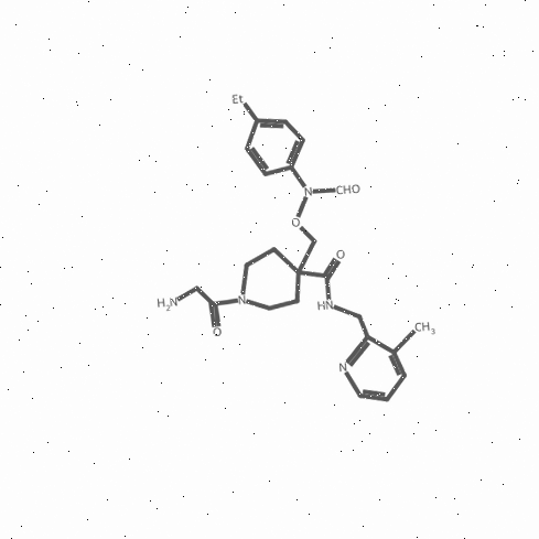 CCc1ccc(N(C=O)OCC2(C(=O)NCc3ncccc3C)CCN(C(=O)CN)CC2)cc1